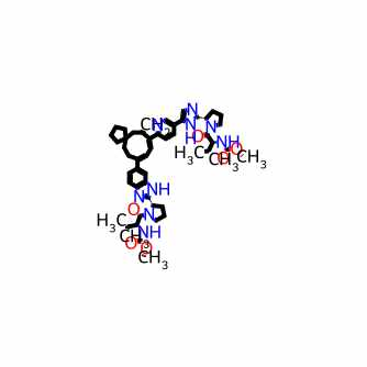 C=C1CC2(CCCC2)CC/C(c2ccc3nc([C@@H]4CCCN4C(=O)[C@@H](NC(=O)OC)C(C)C)[nH]c3c2)=C\C=C/1c1ccc(-c2cnc([C@@H]3CCCN3C(=O)[C@@H](NC(=O)OC)C(C)C)[nH]2)cn1